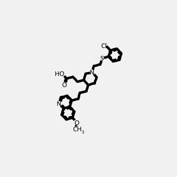 COc1ccc2nccc(CCCC3CCN(CCSc4ccccc4Cl)CC3CCC(=O)O)c2c1